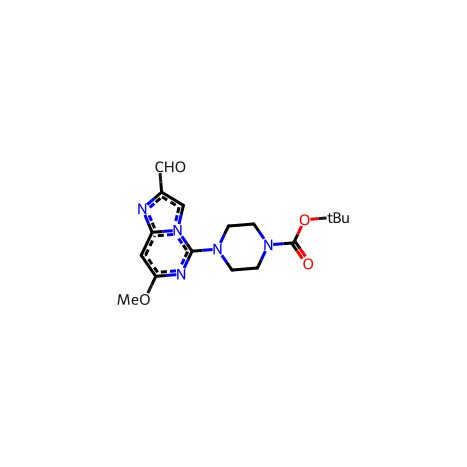 COc1cc2nc(C=O)cn2c(N2CCN(C(=O)OC(C)(C)C)CC2)n1